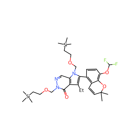 CCc1c(-c2ccc(OC(F)F)c3c2C=CC(C)(C)O3)n(COCC[Si](C)(C)C)c2cnn(COCC[Si](C)(C)C)c(=O)c12